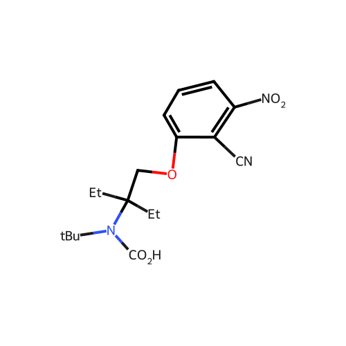 CCC(CC)(COc1cccc([N+](=O)[O-])c1C#N)N(C(=O)O)C(C)(C)C